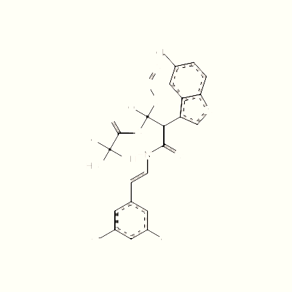 CC(C)(C)C(=O)OC(O)(OP=O)C(C(=O)N/C=C/c1cc(Cl)cc(Cl)c1)c1csc2ccc(Cl)cc12